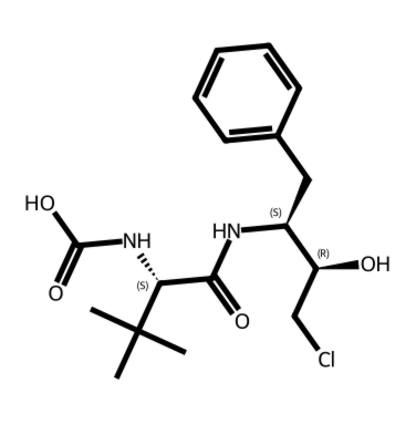 CC(C)(C)[C@H](NC(=O)O)C(=O)N[C@@H](Cc1ccccc1)[C@@H](O)CCl